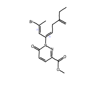 C=C(CC)C/C=C(\C=C(/C)Br)n1nc(C(=O)OC)ccc1=O